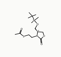 CC(=O)SCCN1C(=O)OC[C@@H]1CO[Si](C)(C)C(C)(C)C